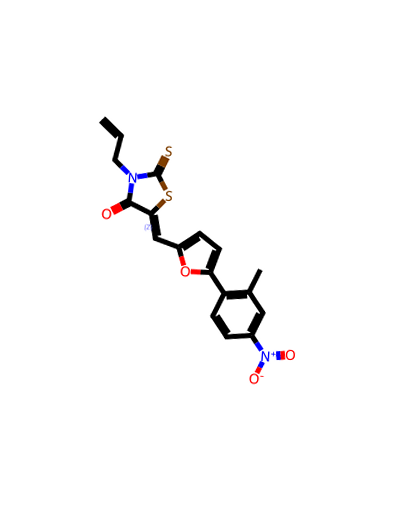 C=CCN1C(=O)/C(=C/c2ccc(-c3ccc([N+](=O)[O-])cc3C)o2)SC1=S